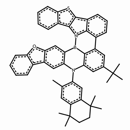 Cc1cc2c(cc1N1c3cc4c(cc3B3c5c(cc(C(C)(C)C)cc51)-c1cccc5c6sc7ccccc7c6n3c15)oc1ccccc14)C(C)(C)CCC2(C)C